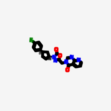 O=c1c2cccnc2ncn1Cc1nn([C@@H]2CC[C@@H](c3ccc(F)cc3)C2)c(=O)o1